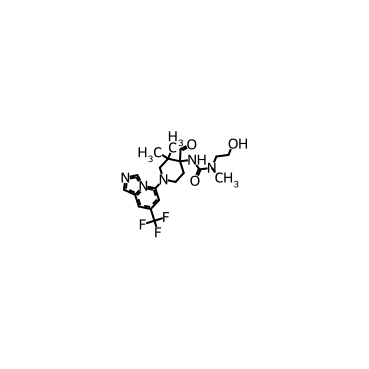 CN(CCO)C(=O)NC1(C=O)CCN(c2cc(C(F)(F)F)cc3cncn23)CC1(C)C